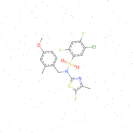 COc1ccc(CN(c2nc(C)c(F)s2)S(=O)(=O)c2cc(Cl)c(F)cc2F)c(C)c1